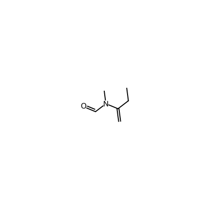 C=C(CC)N(C)C=O